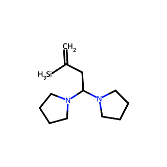 C=C([SiH3])CC(N1CCCC1)N1CCCC1